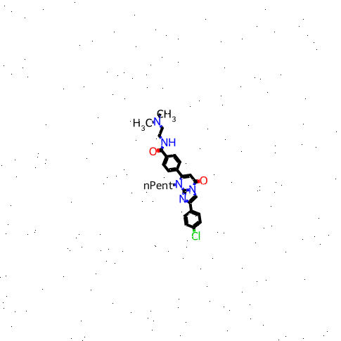 CCCCCn1c(-c2ccc(C(=O)NCCN(C)C)cc2)cc(=O)n2cc(-c3ccc(Cl)cc3)nc12